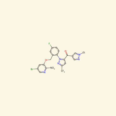 CCn1cc(C(=O)c2cc(C(F)(F)F)nn2-c2ccc(F)cc2COc2cc(Br)cnc2[N+](=O)[O-])cn1